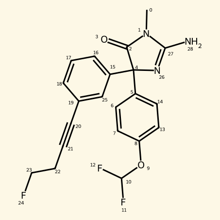 CN1C(=O)C(c2ccc(OC(F)F)cc2)(c2cccc(C#CCCF)c2)N=C1N